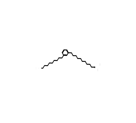 CCCCCCCCCCc1cccc(CCCCCCCCCCC(C)C)c1